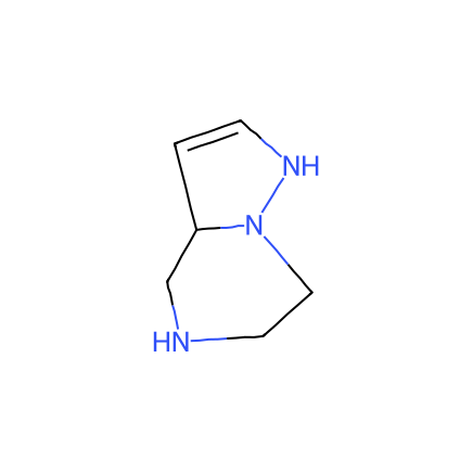 C1=CC2CNCCN2N1